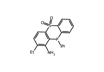 CCc1ccc2c(c1N)P(C(C)C)c1ccccc1S2(=O)=O